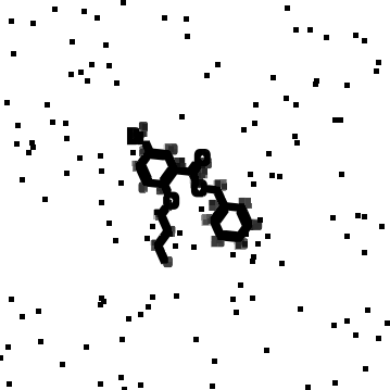 CCCCOc1ccc(Br)cc1C(=O)OCc1ccccc1